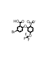 O=C(O)c1cc(Br)ccc1Oc1cc(OC(F)(F)F)ccc1[N+](=O)[O-]